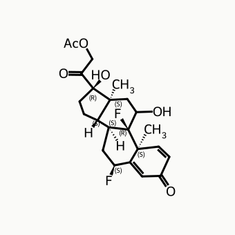 CC(=O)OCC(=O)[C@@]1(O)CC[C@H]2[C@@H]3C[C@H](F)C4=CC(=O)C=C[C@]4(C)[C@@]3(F)C(O)C[C@@]21C